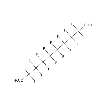 O=CC(F)(F)C(F)(F)C(F)(F)C(F)(F)C(F)(F)C(F)(F)C(F)(F)C(F)(F)C(=O)O